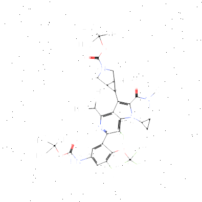 CNC(=O)c1c(C2[C@H]3CN(C(=O)OC(C)(C)C)C[C@@H]23)c2c(C(C)C)nc(-c3cc(NC(=O)OC(C)(C)C)cc(F)c3OC(F)(F)F)c(F)c2n1C1CC1